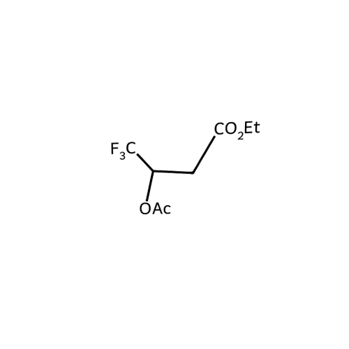 CCOC(=O)CC(OC(C)=O)C(F)(F)F